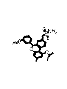 COc1cccc(C2Oc3cc(C)cc(OC(F)F)c3-c3ccc(CS(N)(=O)=O)cc32)c1